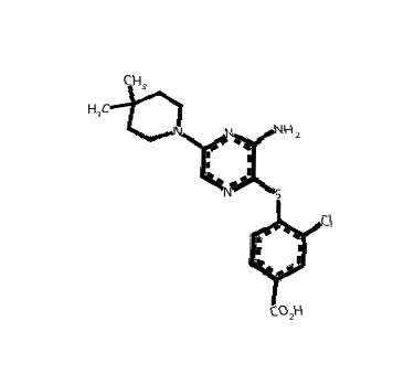 CC1(C)CCN(c2cnc(Sc3ccc(C(=O)O)cc3Cl)c(N)n2)CC1